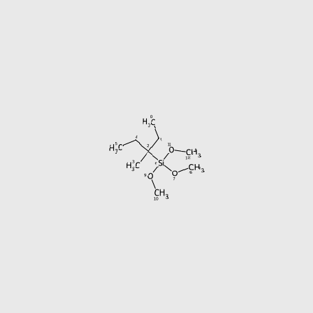 CCC(C)(CC)[Si](OC)(OC)OC